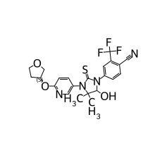 CC1(C)C(O)N(c2ccc(C#N)c(C(F)(F)F)c2)C(=S)N1c1ccc(O[C@H]2CCOC2)nc1